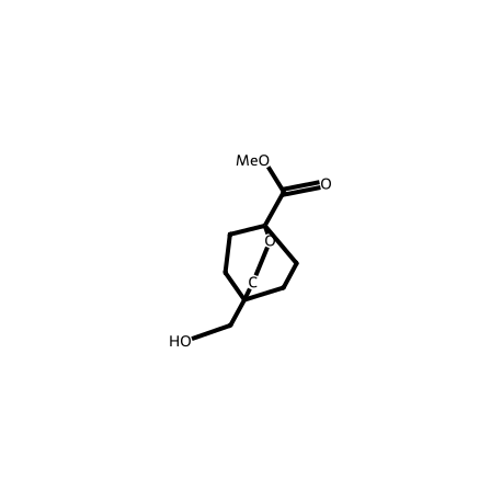 COC(=O)C12CCC(CO)(CC1)CO2